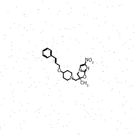 C[C@]1(CN2CCC(OC/C=C/c3ccccc3)CC2)Cn2cc([N+](=O)[O-])nc2O1